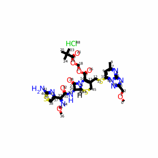 COCc1nc2nc(C)cc(SCC3=C(C(=O)OCOC(=O)C(C)(C)C)N4C(=O)C(NC(=O)C(=NOC)c5csc(N)n5)[C@@H]4SC3)n2n1.Cl